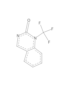 O=c1ncc2ccccc2n1C(F)(F)F